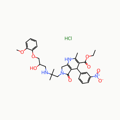 CCOC(=O)C1=C(C)NC2=C(C(=O)N(CC(C)(C)NCC(O)COc3ccccc3OC)C2)C1c1cccc([N+](=O)[O-])c1.Cl